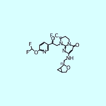 O=C(CN1c2nc(NC[C@H]3OCC4CC43)cc(=O)n2CC[C@H]1C(F)(F)F)c1ccc(OC(F)F)nc1